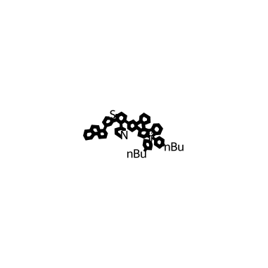 CCCCc1ccc([Si]2(c3ccc(CCCC)cc3)c3ccccc3-c3c2ccc2c4ccc(-c5ccc6sc7ccc(-c8cccc9c8ccc8ccccc89)cc7c6c5-c5cccnc5)cc4c4ccccc4c32)cc1